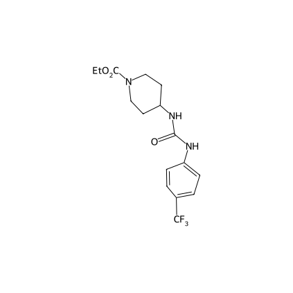 CCOC(=O)N1CCC(NC(=O)Nc2ccc(C(F)(F)F)cc2)CC1